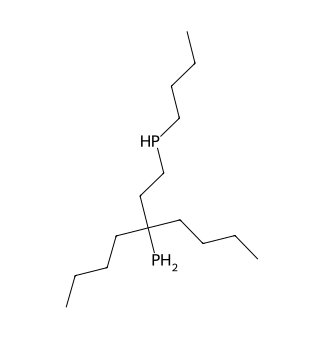 CCCCPCCC(P)(CCCC)CCCC